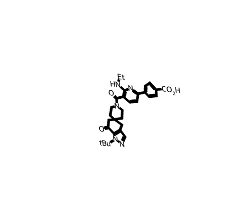 CCNc1nc(-c2ccc(C(=O)O)cc2)ccc1C(=O)N1CCC2(CC1)CC(=O)c1c(cnn1C(C)(C)C)C2